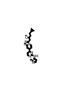 COC(CCC1CC1)Cc1nnc2cc(-c3ccnc(Nc4ccnn4C)n3)ccn12